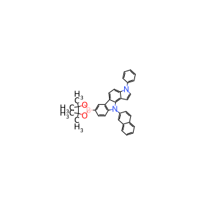 CC1(C)OB(c2ccc3c(c2)c2ccc4c(ccn4-c4ccccc4)c2n3-c2ccc3ccccc3c2)OC1(C)C